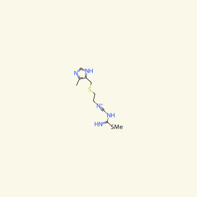 CSC(=N)NC#[N+]CCSCc1[nH]cnc1C